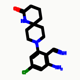 N=Cc1c(N)cc(Cl)cc1N1CCC2(CCCC(=O)N2)CC1